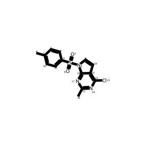 Cc1ccc(S(=O)(=O)n2ccc3c(Cl)nc(C)nc32)cc1